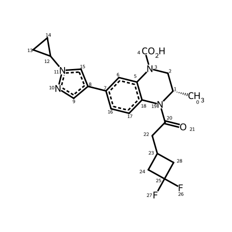 C[C@H]1CN(C(=O)O)c2cc(-c3cnn(C4CC4)c3)ccc2N1C(=O)CC1CC(F)(F)C1